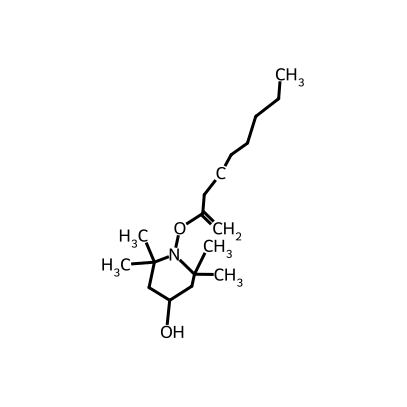 C=C(CCCCCCC)ON1C(C)(C)CC(O)CC1(C)C